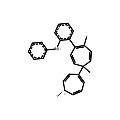 CC1=C(c2ccccc2Nc2ccccc2)C=CC(C)(C2=CC=C[C@H](C)C=C2)C=C1